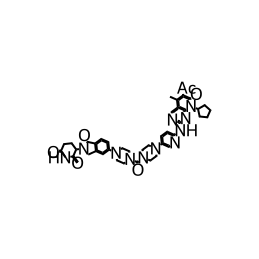 CC(=O)c1c(C)c2cnc(Nc3ccc(N4CCN(C(=O)N5CCN(c6ccc7c(c6)CN(C6CCC(=O)NC6=O)C7=O)CC5)CC4)cn3)nc2n(C2CCCC2)c1=O